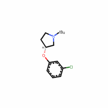 CC(C)(C)N1CC[C@@H](Oc2cccc(Cl)c2)C1